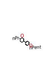 CCCCCOc1ccc(C2=CC(=O)C(CCC)CC2)cc1